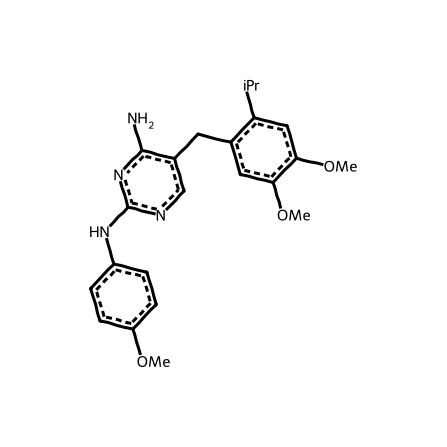 COc1ccc(Nc2ncc(Cc3cc(OC)c(OC)cc3C(C)C)c(N)n2)cc1